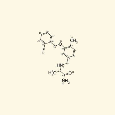 Cc1ccc(CNC(C)C(N)=O)cc1OCc1ccccc1F